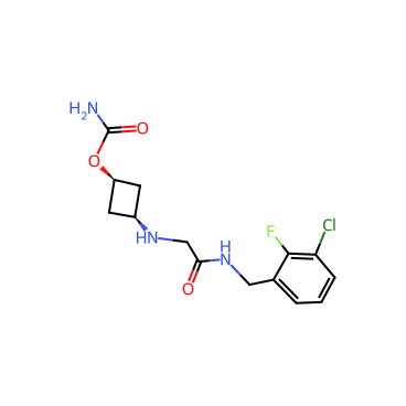 NC(=O)O[C@H]1C[C@@H](NCC(=O)NCc2cccc(Cl)c2F)C1